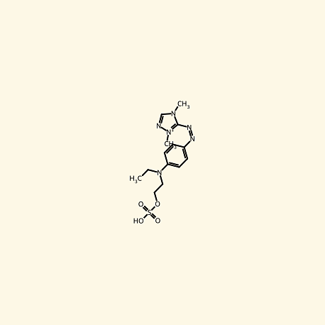 CCN(CCOS(=O)(=O)O)c1ccc(/N=N\c2n(C)cn[n+]2C)cc1